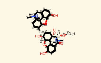 CN1CC[C@]23c4c5ccc(O)c4O[C@H]2[C@@H](O)C=C[C@@]3(O)[C@H]1C5=O.COC1=CC=C2[C@H]3Cc4ccc(O)c5c4[C@@]2(CCN3C)[C@H]1O5.O=S(=O)(O)O